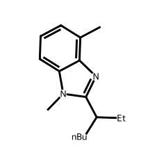 CCCCC(CC)c1nc2c(C)cccc2n1C